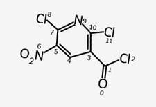 O=C(Cl)c1cc([N+](=O)[O-])c(Cl)nc1Cl